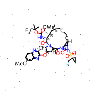 COC[C@@H]1C[C@@H](C)CCCC[C@H]2C[C@@]2(C(=O)NS(=O)(=O)C2(CF)CC2)NC(=O)[C@@H]2C[C@@H](Oc3nc4cc(OC)ccc4nc3C(F)(F)F)CN2C(=O)[C@H]1NC(=O)OC(C)(C)C(F)(F)F